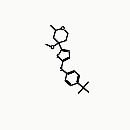 COC1(c2ccc(Sc3ccc(C(C)(C)C)cc3)s2)CCOC(C)C1